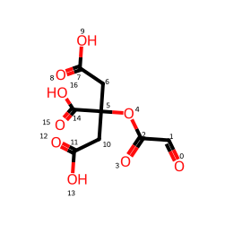 O=CC(=O)OC(CC(=O)O)(CC(=O)O)C(=O)O